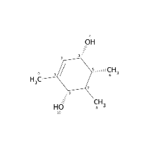 CC1=C[C@H](O)[C@H](C)C(C)[C@@H]1O